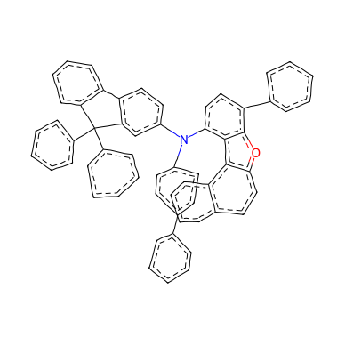 c1ccc(-c2ccc(N(c3ccc4c(c3)C(c3ccccc3)(c3ccccc3)c3ccccc3-4)c3ccc(-c4ccccc4)c4oc5ccc6ccccc6c5c34)cc2)cc1